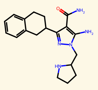 NC(=O)c1c(C2CCc3ccccc3C2)nn(CC2CCCN2)c1N